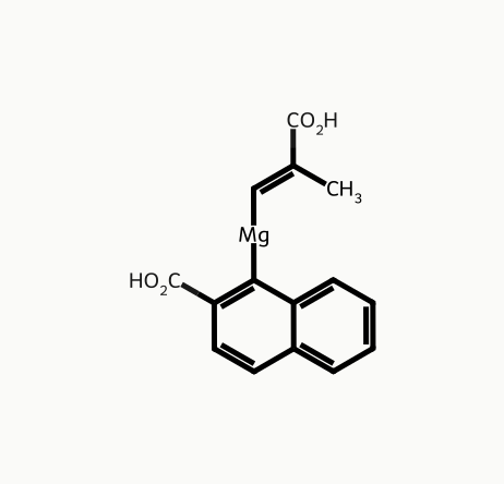 CC(=[CH][Mg][c]1c(C(=O)O)ccc2ccccc12)C(=O)O